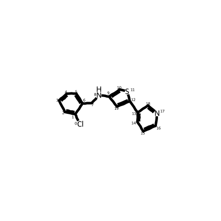 Clc1ccccc1CNc1csc(-c2cccnc2)c1